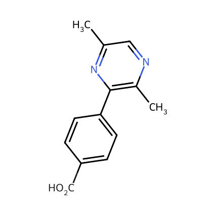 Cc1cnc(C)c(-c2ccc(C(=O)O)cc2)n1